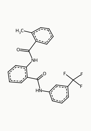 Cc1ccccc1C(=O)Nc1ccccc1C(=O)Nc1cccc(C(F)(F)F)c1